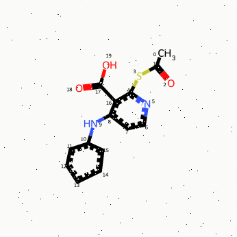 CC(=O)Sc1nccc(Nc2ccccc2)c1C(=O)O